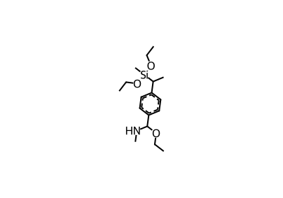 CCOC(NC)c1ccc(C(C)[Si](C)(OCC)OCC)cc1